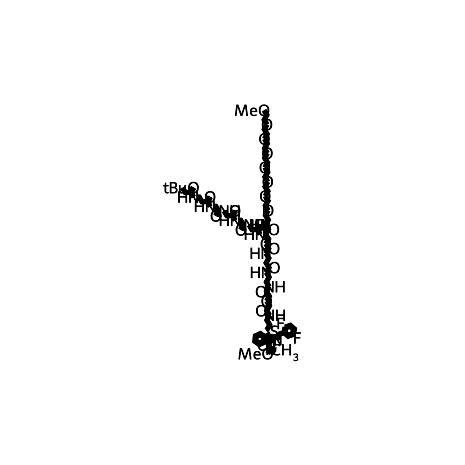 COCCOCCOCCOCCOCCOCCOCCOCCNC(=O)C(COC(=O)NCCC(=O)NCCNC(=O)COCC(=O)NCCC[C@@]1(c2ccccc2)SC(c2cc(F)ccc2F)=NN1C(=O)N(C)OC)NC(=O)CNC(=O)CNC(=O)CNC(=O)CNC(=O)CCNC(=O)CC(C)(C)C